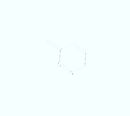 O=C1C=CCN=N1